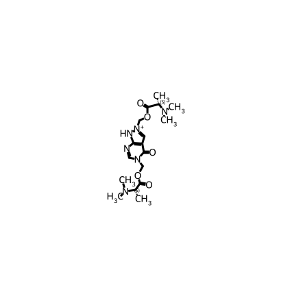 C[C@@H](C(=O)OCn1cnc2[nH][n+](COC(=O)[C@H](C)N(C)C)cc2c1=O)N(C)C